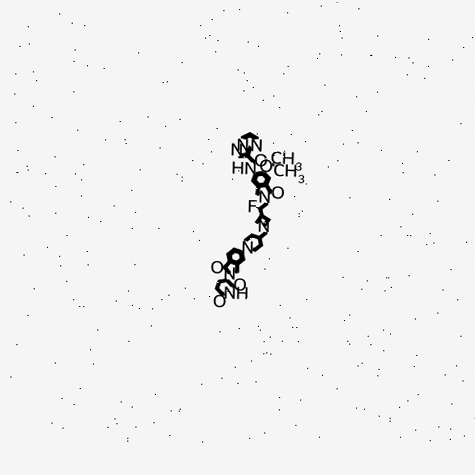 CC(C)Oc1cc2c(cc1NC(=O)c1cnn3cccnc13)CN(C[C@@H](F)C1CN(CC3CCN(c4ccc5c(c4)CN(C4CCC(=O)NC4=O)C5=O)CC3)C1)C2=O